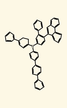 C1=C(c2ccccc2)CCC(N(c2ccc(-c3ccc(-c4ccccc4)cc3)cc2)c2ccc(-c3cc4ccccc4c4ccccc34)c(-c3ccccc3)c2)=C1